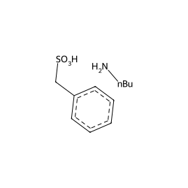 CCCCN.O=S(=O)(O)Cc1ccccc1